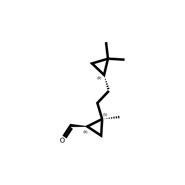 CC1(C)C[C@H]1CC[C@@]1(C)C[C@H]1C=O